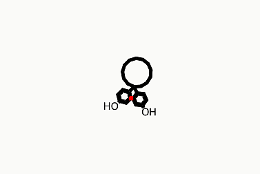 Oc1ccc(C2(c3ccc(O)cc3)CCCCCCCCCCCC2)cc1